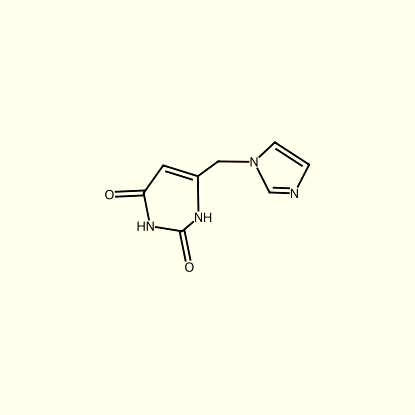 O=c1cc(Cn2ccnc2)[nH]c(=O)[nH]1